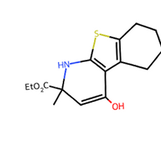 CCOC(=O)C1(C)C=C(O)c2c(sc3c2CCCC3)N1